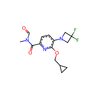 CN(C=O)C(=O)c1ccc(N2CC(F)(F)C2)c(OCC2CC2)n1